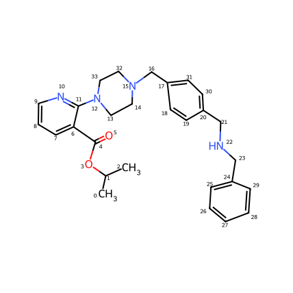 CC(C)OC(=O)c1cccnc1N1CCN(Cc2ccc(CNCc3ccccc3)cc2)CC1